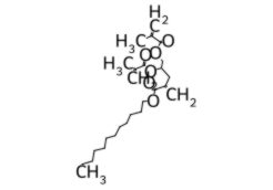 C=C(C)C(=O)OCC(CC(=C)C(=O)OCCCCCCCCCCCC)OC(=O)C(=C)C